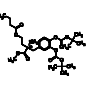 CCCC(=O)OCC[C@@](N)(Cc1ccc(OC(=O)OC(C)(C)C)c(OC(=O)OC(C)(C)C)c1)C(=O)OC